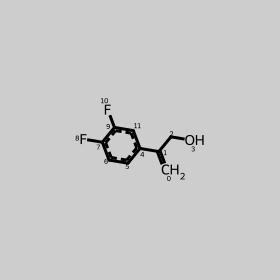 C=C(CO)c1ccc(F)c(F)c1